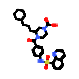 O=C(O)N1CCN(C(=O)c2ccc(NS(=O)(=O)c3cccc4cccnc34)cc2)C(CCCC2CCCCC2)C1